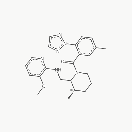 COc1cccnc1NCC1[C@H](C)CCCN1C(=O)c1cc(C)ccc1-n1nccn1